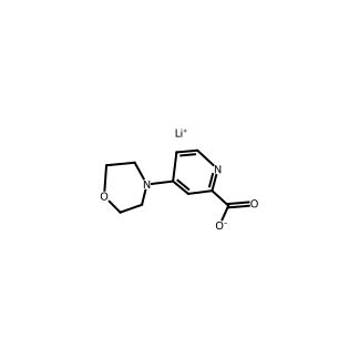 O=C([O-])c1cc(N2CCOCC2)ccn1.[Li+]